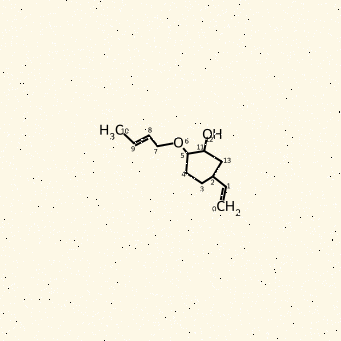 C=CC1CCC(OC/C=C/C)C(O)C1